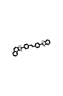 C(=Cc1ccc(-c2nc3c(ccc4ccccc43)o2)cc1)c1ccc(-c2nc3ccccc3o2)cc1